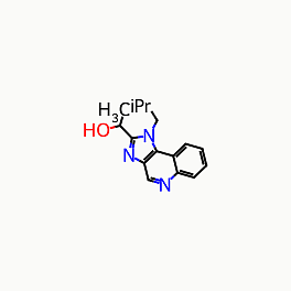 CC(C)Cn1c(C(C)O)nc2cnc3ccccc3c21